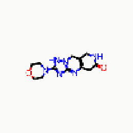 O=C1CC2=C(CN1)CN1NC(N3CCOCC3)=NC1=N2